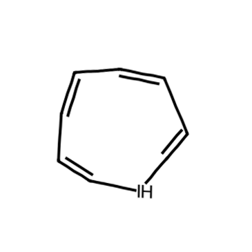 C1=CC=C[IH]C=CC=C1